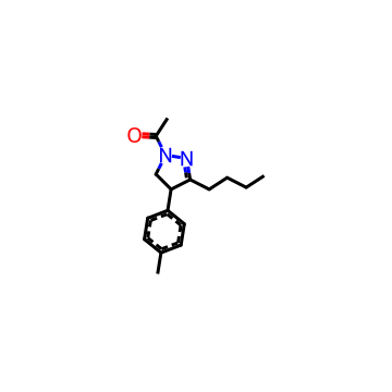 CCCCC1=NN(C(C)=O)CC1c1ccc(C)cc1